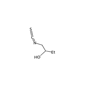 CCC(O)CN=C=S